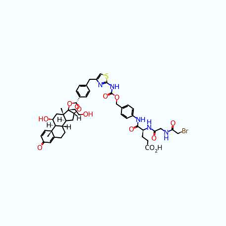 C[C@]12C=CC(=O)C=C1CC[C@@H]1[C@@H]2[C@@H](O)C[C@@]2(C)[C@H]1C[C@H]1O[C@@H](c3ccc(Cc4csc(NC(=O)OCc5ccc(NC(=O)[C@H](CCC(=O)O)NC(=O)CNC(=O)CBr)cc5)n4)cc3)O[C@]12C(=O)CO